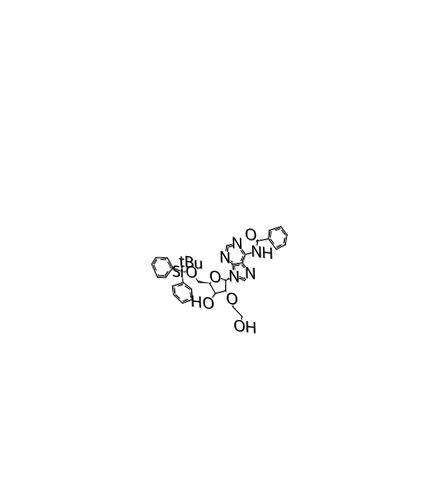 CC(C)(C)[Si](OC[C@H]1O[C@@H](n2cnc3c(NC(=O)c4ccccc4)ncnc32)C(OCCO)C1O)(c1ccccc1)c1ccccc1